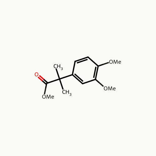 COC(=O)C(C)(C)c1ccc(OC)c(OC)c1